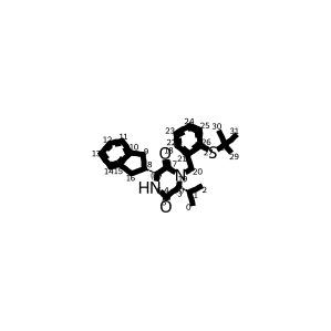 CC(C)[C@@H]1C(=O)N[C@H](C2Cc3ccccc3C2)C(=O)N1Cc1ccccc1SC(C)(C)C